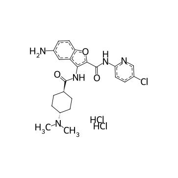 CN(C)[C@H]1CC[C@H](C(=O)Nc2c(C(=O)Nc3ccc(Cl)cn3)oc3ccc(N)cc23)CC1.Cl.Cl